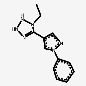 CCN1NNN=C1c1cnn(-c2ccccc2)c1